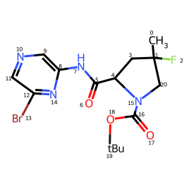 CC1(F)CC(C(=O)Nc2cncc(Br)n2)N(C(=O)OC(C)(C)C)C1